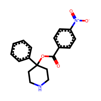 O=C(OC1(c2ccccc2)CCNCC1)c1ccc([N+](=O)[O-])cc1